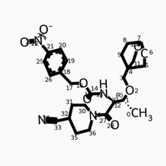 C[C@@H](OCC12CCC(CC1)OC2)[C@H](NC(=O)OCc1ccc([N+](=O)[O-])cc1)C(=O)N1CCC(C#N)CC1